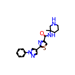 CC1(NC(=O)c2csc(-c3cnn(-c4ccccc4)c3)n2)CCCNC1